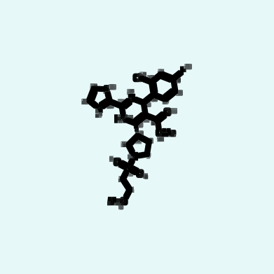 COCCS(=O)(=O)N1CC[C@@H](C2=C(C(=O)OC)C(c3ccc(F)cc3Cl)N=C(c3nccs3)N2)C1